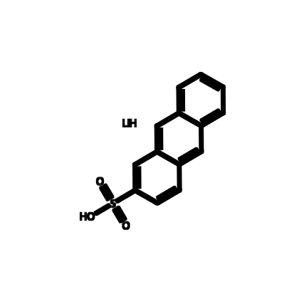 O=S(=O)(O)c1ccc2cc3ccccc3cc2c1.[LiH]